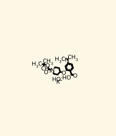 CN(C)c1ccc(C(=O)O)c(OC2CCN(C(=O)OC(C)(C)C)CC2)c1.[K+].[OH-]